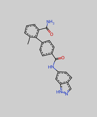 Cc1cc[c]c(C(N)=O)c1-c1ccc(C(=O)Nc2ccc3cn[nH]c3c2)cc1